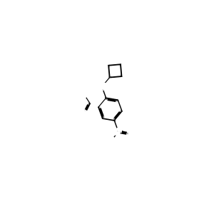 O=CO.O=[N+]([O-])c1ccc(OC2CCC2)cc1